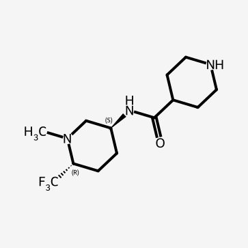 CN1C[C@@H](NC(=O)C2CCNCC2)CC[C@@H]1C(F)(F)F